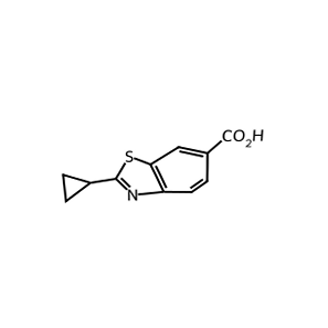 O=C(O)c1ccc2nc(C3CC3)sc2c1